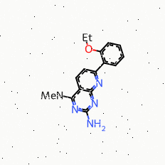 CCOc1ccccc1-c1ccc2c(NC)nc(N)nc2n1